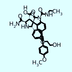 CCNC(=O)N1C(=O)[C@@]2(c3cc(C#Cc4ccc(OC)cc4)ccc31)[C@H](c1ccc(OCCO)cc1)N[C@@H](C(N)=O)[C@@H]2C(=O)O